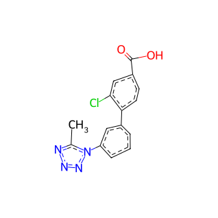 Cc1nnnn1-c1cccc(-c2ccc(C(=O)O)cc2Cl)c1